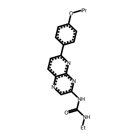 CCNC(=O)Nc1cnc2ccc(-c3ccc(OC(C)C)cc3)nc2n1